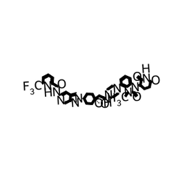 Cn1c(=O)n(C2CCC(=O)NC2=O)c2cccc(N3CCN(C(=O)C[C@]4(O)CC[C@@H](n5cc6cc(NC(=O)c7cccc(C(F)(F)F)n7)ncc6n5)CC4)CC3)c21